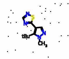 Cn1ncc(-c2ncns2)c1C(C)(C)C